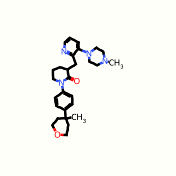 CN1CCN(c2cccnc2CC2CCCN(c3ccc(C4(C)CCOCC4)cc3)C2=O)CC1